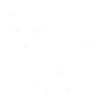 N=CNC(=N)NCCSc1nonc1/C(=N/O)Nc1ccc(F)c(Br)c1